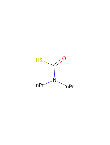 CCCN(CCC)C(=O)S